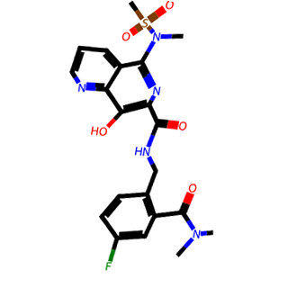 CN(C)C(=O)c1cc(F)ccc1CNC(=O)c1nc(N(C)S(C)(=O)=O)c2cccnc2c1O